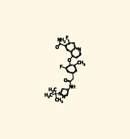 Cc1cc(CC(=O)Nc2cnn(C(C)(C)C)c2)cc(F)c1Oc1ccnc2cc(F)c(C(N)=O)cc12